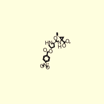 C=C[C@@H]1C[C@]1(NC(=O)[C@H]1C[C@H](OC(=O)c2ccc([N+](=O)[O-])cc2)CN1)C(=O)OC